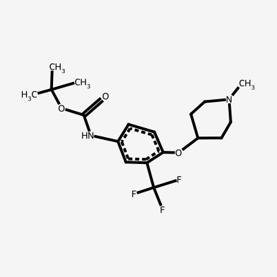 CN1CCC(Oc2ccc(NC(=O)OC(C)(C)C)cc2C(F)(F)F)CC1